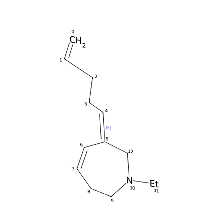 C=CCC/C=C1\C=CCCN(CC)C1